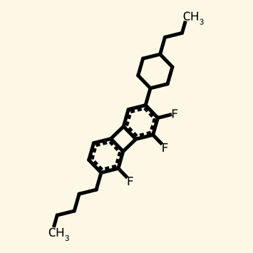 CCCCCc1ccc2c(c1F)-c1c-2cc(C2CCC(CCC)CC2)c(F)c1F